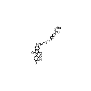 CC(C)(C)OC(=O)N1CC2(CN(CCOCCNc3ccc4c(c3)C(=O)N(C3CCC(=O)NC3=O)C4=O)C2)C1